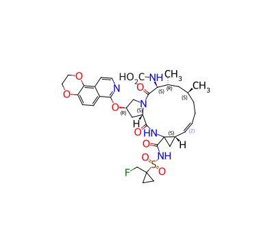 C[C@H]1CC/C=C\[C@@H]2CC2(C(=O)NS(=O)(=O)C2(CF)CC2)NC(=O)[C@@H]2C[C@@H](Oc3nccc4c5c(ccc34)OCCO5)CN2C(=O)[C@@H](NC(=O)O)[C@H](C)C1